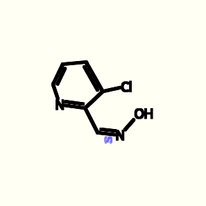 O/N=C\c1ncccc1Cl